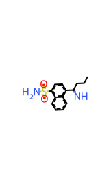 CCCC(=N)c1ccc(S(N)(=O)=O)c2ccccc12